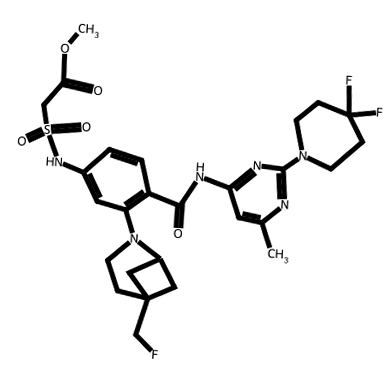 COC(=O)CS(=O)(=O)Nc1ccc(C(=O)Nc2cc(C)nc(N3CCC(F)(F)CC3)n2)c(N2CCC3(CF)CC2C3)c1